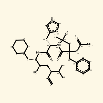 C=C[C@@H](C[C@@H](O)[C@H](CC1CCCCC1)NC(=O)[C@H](Cc1c[nH]cn1)NC(=O)[C@](Cc1ccccc1)(CC(Cl)(Cl)Cl)OC(N)=O)C(C)C